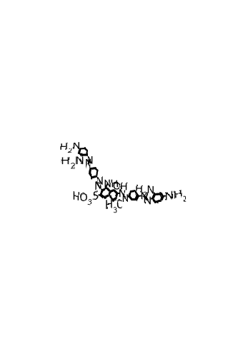 Cc1cc2cc(S(=O)(=O)O)c(/N=N/c3ccc(/N=N/c4ccc(N)cc4N)cc3)c(N)c2c(O)c1/N=N/c1ccc(/N=N/c2ccc(N)cc2N)cc1